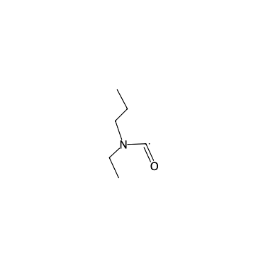 CCCN([C]=O)CC